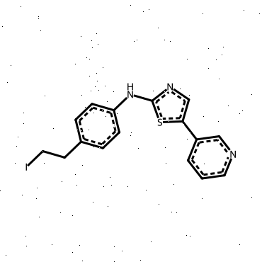 ICCc1ccc(Nc2ncc(-c3cccnc3)s2)cc1